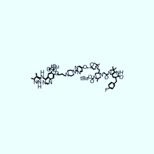 Cc1n[nH]c(Nc2ncnc3cc(OCCCN4CCN(c5ncc(OC[C@H]6CN(CC7CN(C(=O)OC(C)(C)C)C(C)CN7CC(=O)N7CC(C)(C)c8[nH]c(=O)c(Cc9ccc(F)cc9)cc87)[C@H](C)CO6)cn5)CC4)c(S(=O)(=O)C(C)(C)C)cc23)c1C